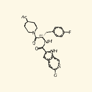 CC(=O)C1CCN(C(=O)[C@H](Cc2ccc(F)cc2)NC(=O)c2cc3cc(Cl)ncc3[nH]2)CC1